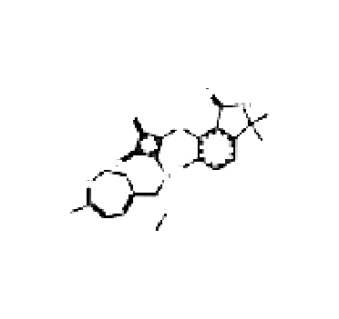 CC[C@@H](Nc1c(Nc2c(F)ccc3c2C(=O)NC3(C)C)c(=O)c1=O)C1=CC=C(C)OCC1